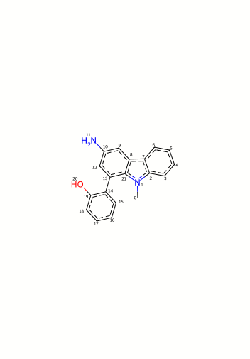 Cn1c2ccccc2c2cc(N)cc(-c3ccccc3O)c21